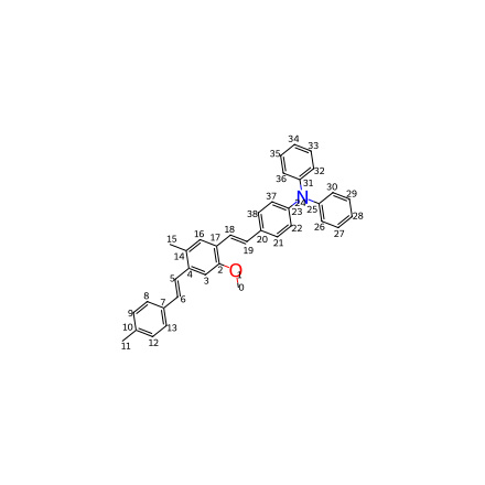 COc1cc(/C=C/c2ccc(C)cc2)c(C)cc1/C=C/c1ccc(N(c2ccccc2)c2ccccc2)cc1